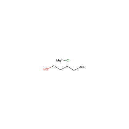 CCCCCCCCO.[Mg+2][Cl]